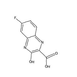 O=C(O)c1nc2ccc(F)cc2nc1O